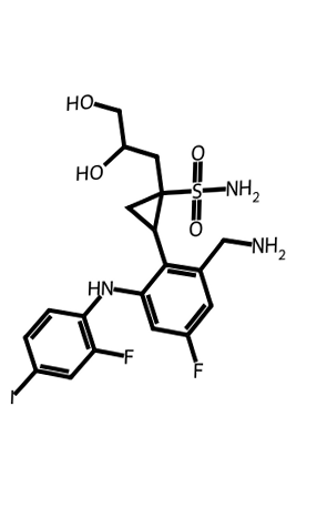 NCc1cc(F)cc(Nc2ccc(I)cc2F)c1C1CC1(CC(O)CO)S(N)(=O)=O